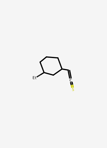 CCC1CCCC(C=C=S)C1